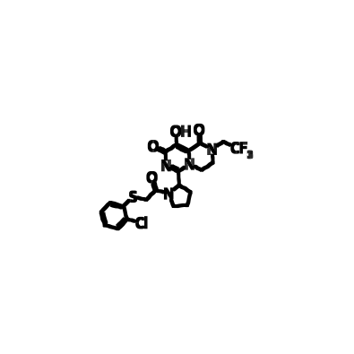 O=C1c2c(O)c(=O)nc(C3CCCN3C(=O)CSc3ccccc3Cl)n2CCN1CC(F)(F)F